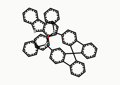 c1ccc(N(c2ccccc2)c2ccc3c(c2)C2(c4ccccc4-3)c3ccccc3-c3ccc(N(c4ccccc4)c4cccc5c4sc4ccccc45)cc32)cc1